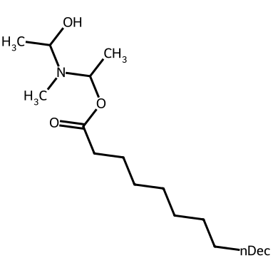 CCCCCCCCCCCCCCCCCC(=O)OC(C)N(C)C(C)O